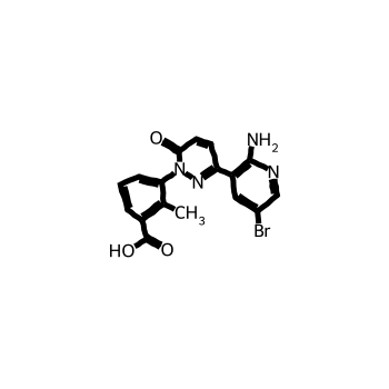 Cc1c(C(=O)O)cccc1-n1nc(-c2cc(Br)cnc2N)ccc1=O